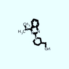 CN(C)c1nc(N2CCCC(CO)C2)nc2ccccc12